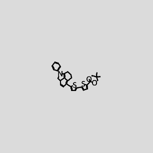 CC1(C)COC(c2ccc(-c3ccc(C4=C5CCCC6=C5C(C=C4)CN6c4ccccc4)s3)s2)OC1